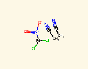 CC#N.CC#N.O=[N+]([O-])[Pd]([Cl])[Cl]